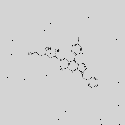 CC(C)c1nc2c(ccn2Cc2ccccc2)c(-c2ccc(F)cc2)c1/C=C/C(O)CC(O)CCO